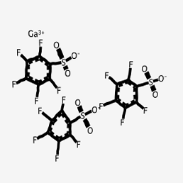 O=S(=O)([O-])c1c(F)c(F)c(F)c(F)c1F.O=S(=O)([O-])c1c(F)c(F)c(F)c(F)c1F.O=S(=O)([O-])c1c(F)c(F)c(F)c(F)c1F.[Ga+3]